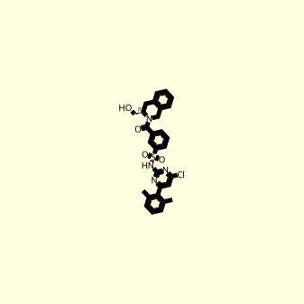 Cc1cccc(C)c1-c1cc(Cl)nc(NS(=O)(=O)c2cccc(C(=O)N3Cc4ccccc4C[C@H]3CO)c2)n1